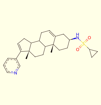 C[C@]12CC[C@H](NS(=O)(=O)C3CC3)CC1=CCC1C2CC[C@]2(C)C(c3cccnc3)=CCC12